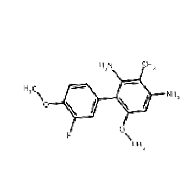 COc1ccc(-c2c(OC)cc(N)c(C)c2N)cc1F